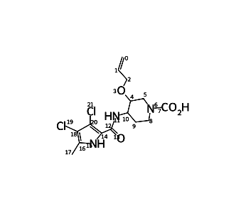 C=CCOC1CN(C(=O)O)CCC1NC(=O)c1[nH]c(C)c(Cl)c1Cl